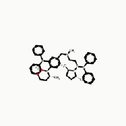 C[C@@H]1CCC[C@@H](C)P1c1ccc(CN(C)CCN(P(c2ccccc2)c2ccccc2)P2[C@H](C)CC[C@H]2C)cc1P(c1ccccc1)c1ccccc1